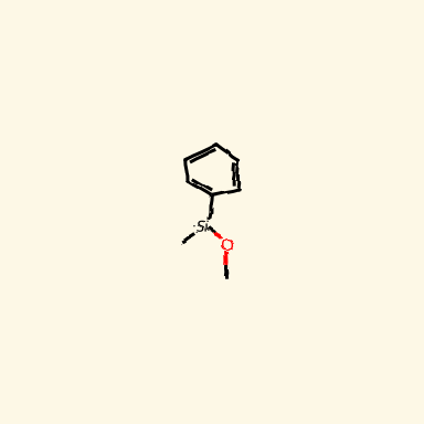 CO[Si](C)c1ccccc1